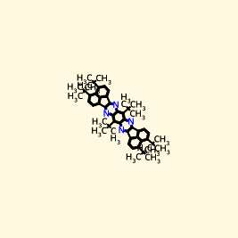 CC(C)(C)c1c2nc3c(nc2c(C(C)(C)C)c2nc4c(nc12)-c1ccc(C(C)(C)C)c2c(C(C)(C)C)ccc-4c12)-c1ccc(C(C)(C)C)c2c(C(C)(C)C)ccc-3c12